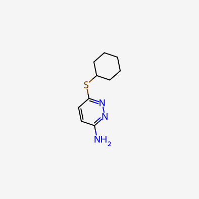 Nc1ccc(SC2CCCCC2)nn1